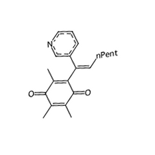 CCCCC/C=C(/C1=C(C)C(=O)C(C)=C(C)C1=O)c1cccnc1